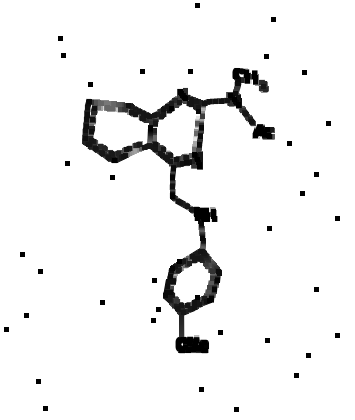 COc1ccc(NCc2nc(N(C)C(C)=O)nc3ccccc23)cc1